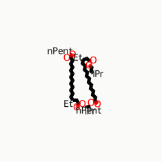 CCC(CCCCCCCCCCCCC(=O)OCCC(C)C)CC(=O)OCCC(C)C.CCCCCOC(=O)CCCCCCCCCCCCC(CC)CC(=O)OCCCCC